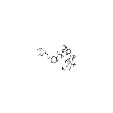 C[C@@H](NC(=O)c1ccc2c(n1)N(C(=O)Nc1cc(OC[C@@H](O)CO)ncn1)C1CCN2C1)C(F)(F)F